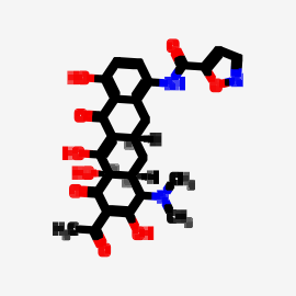 CC(=O)C1=C(O)C(N(C)C)[C@@H]2C[C@@H]3Cc4c(NC(=O)c5ccno5)ccc(O)c4C(=O)C3=C(O)[C@]2(O)C1=O